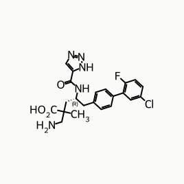 CC(CN)(C[C@@H](Cc1ccc(-c2cc(Cl)ccc2F)cc1)NC(=O)c1cnn[nH]1)C(=O)O